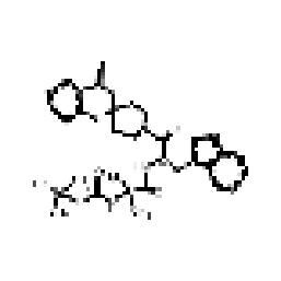 CC(C)(C)OC(=O)NC(C)(C)C(=O)N[C@H](Cc1c[nH]c2ccccc12)C(=O)N1CCC2(CC1)CC(=O)c1ccccc1O2